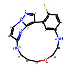 Fc1ccc2cc1-c1cnn3ccc(nc13)NCCCOCCN2